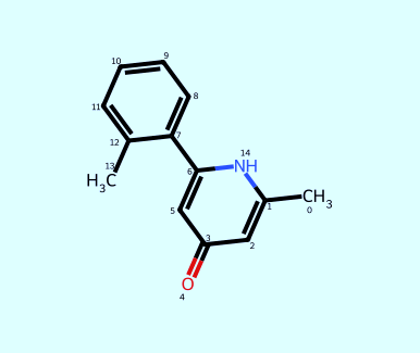 Cc1cc(=O)cc(-c2ccccc2C)[nH]1